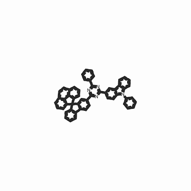 c1ccc(-c2nc(-c3ccc4c(c3)C3(c5ccccc5-4)c4cccc5ccc6cccc3c6c45)nc(-c3ccc4c(c3)c3ccccc3n4-c3ccccc3)n2)cc1